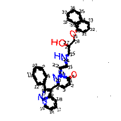 O=c1ccc(-c2c(-c3ccccc3)nn3ccccc23)nn1CCNCC(O)COc1cccc2ccccc12